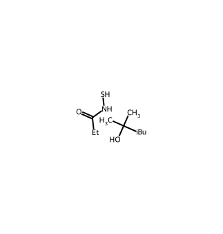 CCC(=O)NS.CCC(C)C(C)(C)O